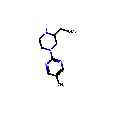 COCC1CN(c2ncc(C)cn2)CCN1